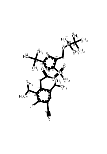 CC(C)c1cc(C#N)c(F)c(C(C)C)c1CC(=O)N=S(N)(=O)c1sc(C(C)(C)O)nc1CO[Si](C)(C)C(C)(C)C